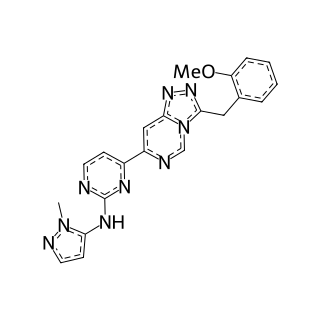 COc1ccccc1Cc1nnc2cc(-c3ccnc(Nc4ccnn4C)n3)ncn12